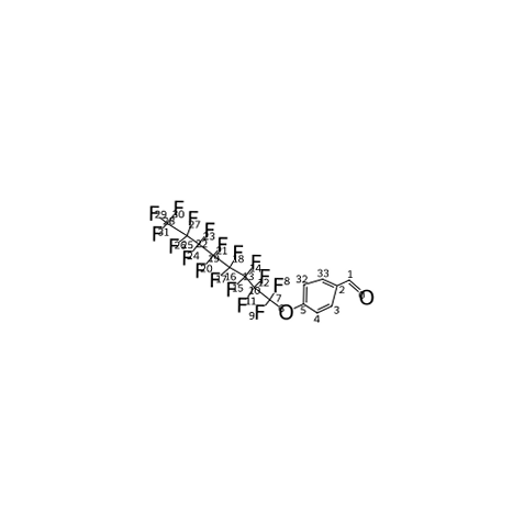 O=Cc1ccc(OC(F)(F)C(F)(F)C(F)(F)C(F)(F)C(F)(F)C(F)(F)C(F)(F)C(F)(F)F)cc1